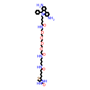 Nc1ccc2c(c1)c(-c1ccccc1)[n+](CCCCCC(=O)NCCOCCOCCOCCOCCC(=O)NCCCCCNC(=O)CCCCC1SCC3NC(=O)NC31)c1cc(N)ccc21